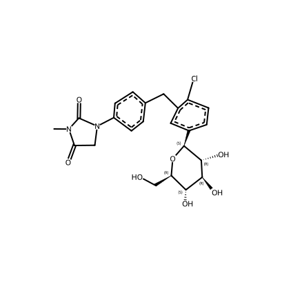 CN1C(=O)CN(c2ccc(Cc3cc([C@@H]4O[C@H](CO)[C@@H](O)[C@H](O)[C@H]4O)ccc3Cl)cc2)C1=O